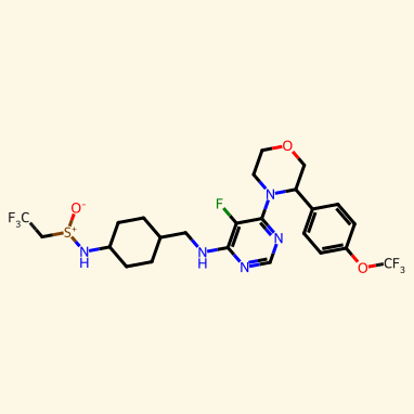 [O-][S+](CC(F)(F)F)NC1CCC(CNc2ncnc(N3CCOCC3c3ccc(OC(F)(F)F)cc3)c2F)CC1